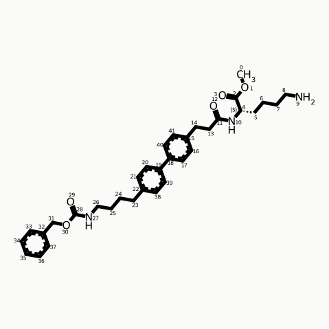 COC(=O)[C@H](CCCCN)NC(=O)CCc1ccc(-c2ccc(CCCCNC(=O)OCc3ccccc3)cc2)cc1